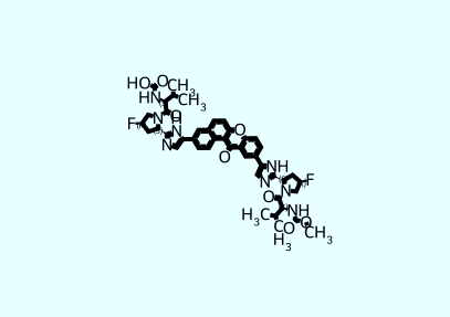 COC(=O)N[C@H](C(=O)N1C[C@H](F)C[C@H]1c1ncc(-c2ccc3oc4ccc5cc(-c6cnc([C@@H]7C[C@@H](F)CN7C(=O)[C@@H](NC(=O)O)C(C)C)[nH]6)ccc5c4c(=O)c3c2)[nH]1)C(C)C